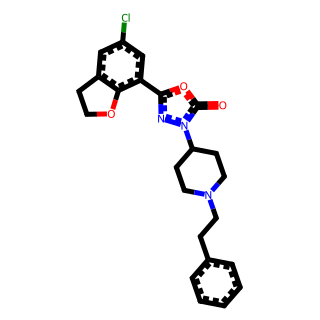 O=c1oc(-c2cc(Cl)cc3c2OCC3)nn1C1CCN(CCc2ccccc2)CC1